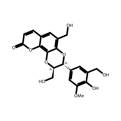 COc1cc([C@H]2Oc3c(CO)cc4ccc(=O)oc4c3O[C@@H]2CO)cc(CO)c1O